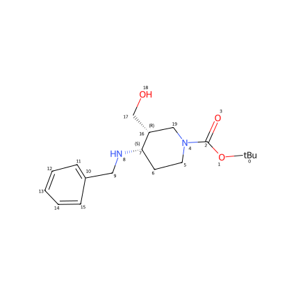 CC(C)(C)OC(=O)N1CC[C@H](NCc2ccccc2)[C@H](CO)C1